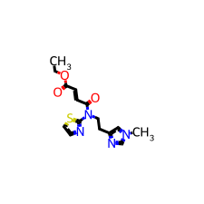 CCOC(=O)/C=C/C(=O)N(CCc1cn(C)cn1)c1nccs1